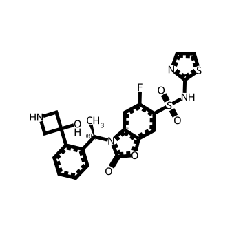 C[C@H](c1ccccc1C1(O)CNC1)n1c(=O)oc2cc(S(=O)(=O)Nc3nccs3)c(F)cc21